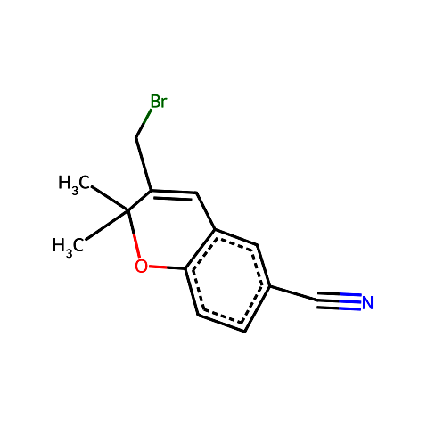 CC1(C)Oc2ccc(C#N)cc2C=C1CBr